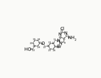 Nc1nc(Cl)nc2c1cnn2Cc1cc(COc2cccc(CO)c2)ccc1Br